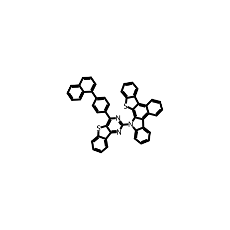 c1ccc2c(-c3ccc(-c4nc(-n5c6ccccc6c6c7ccccc7c7c8ccccc8sc7c65)nc5c4sc4ccccc45)cc3)cccc2c1